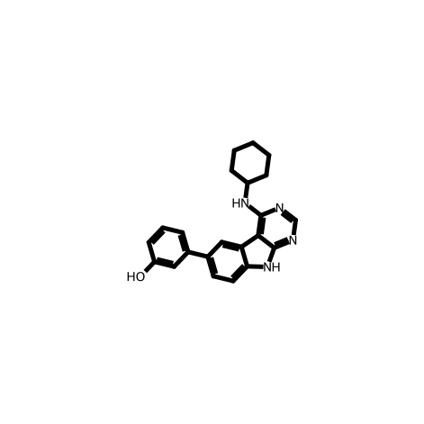 Oc1cccc(-c2ccc3[nH]c4ncnc(NC5CCCCC5)c4c3c2)c1